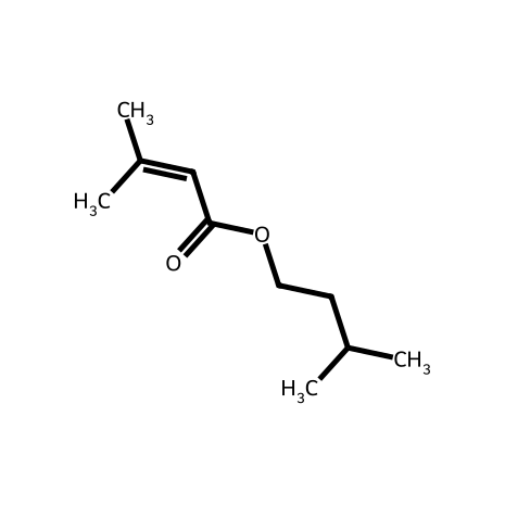 CC(C)=CC(=O)OCCC(C)C